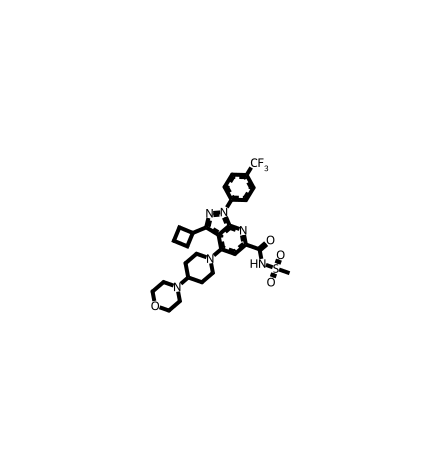 CS(=O)(=O)NC(=O)c1cc(N2CCC(N3CCOCC3)CC2)c2c(C3CCC3)nn(-c3ccc(C(F)(F)F)cc3)c2n1